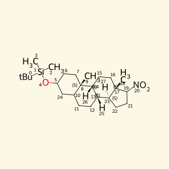 CC(C)(C)[Si](C)(C)OC1CC[C@@]2(C)C(CC[C@@H]3[C@H]2CC[C@]2(C)C([N+](=O)[O-])CC[C@@H]32)C1